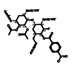 CC(=O)O[C@@H]1[C@@H](OC(C)=O)[C@H](N=[N+]=[N-])C[C@H](N=[N+]=[N-])[C@H]1O[C@H]1C[C@H](CN=[N+]=[N-])[C@H](OC(=O)c2ccc([N+](=O)[O-])cc2)[C@H](F)[C@H]1N=[N+]=[N-]